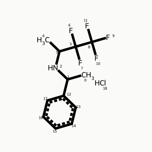 CC(NC(C)C(F)(F)C(F)(F)F)c1ccccc1.Cl